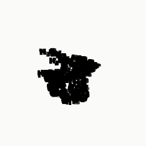 COCCOCCOCCOCCC1(C)\C(=C/C=C(C)/C=C/C2=[N+](CCOCCOC)c3ccc4c(S(=O)(=O)O)cc(S(=O)(=O)O)cc4c3C2(C)CCCS(=O)(=O)O)N(CCCC(=O)ON2C(=O)CCC2=O)c2ccc3c(S(=O)(=O)[O-])cc(S(=O)(=O)O)cc3c21